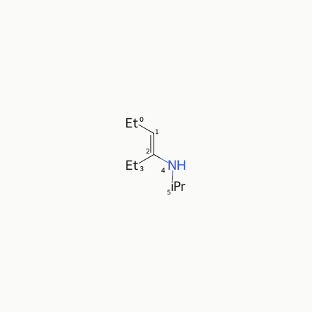 CC/C=C(\CC)NC(C)C